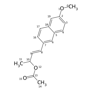 COc1ccc2cc(C=CC(C)OC(C)=O)ccc2c1